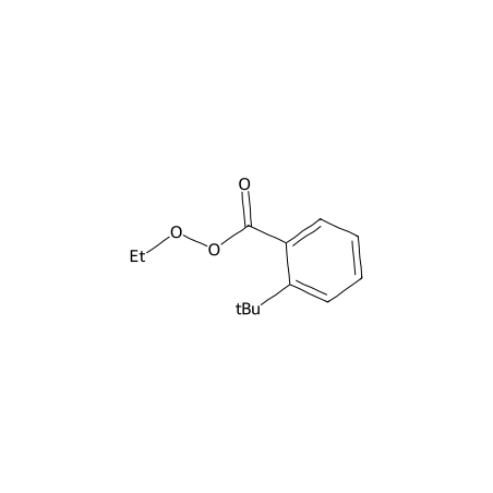 CCOOC(=O)c1ccccc1C(C)(C)C